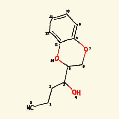 N#CCCC(O)C1COc2ccccc2O1